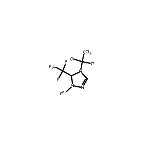 CCCN1N=CN(C(Cl)(Cl)C(Cl)(Cl)Cl)C1C(F)(F)C(F)(F)F